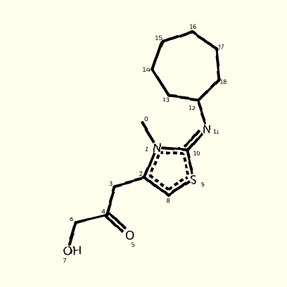 Cn1c(CC(=O)CO)csc1=NC1CCCCCC1